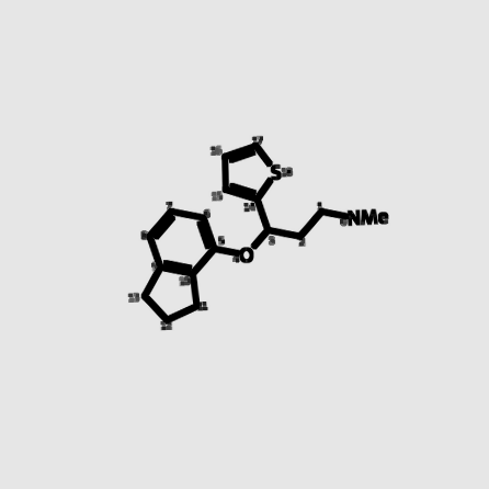 CNCCC(Oc1cccc2c1CCC2)c1cccs1